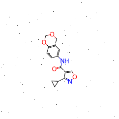 O=C(Nc1ccc2c(c1)COCO2)c1conc1C1CC1